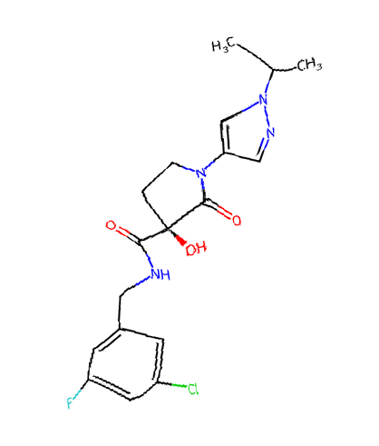 CC(C)n1cc(N2CC[C@@](O)(C(=O)NCc3cc(F)cc(Cl)c3)C2=O)cn1